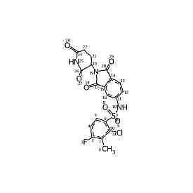 Cc1c(F)ccc(S(=O)(=O)Nc2ccc3c(c2)C(=O)N(C2CCC(=O)NC2=O)C3=O)c1Cl